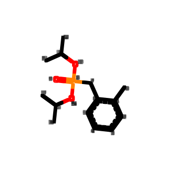 Cc1ccccc1CP(=O)(OC(C)C)OC(C)C